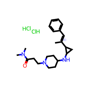 C/C(=C\c1ccccc1)C1CC1NC1CCN(CCC(=O)N(C)C)CC1.Cl.Cl